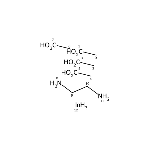 CC(=O)O.CC(=O)O.CC(=O)O.CC(=O)O.NCCN.[InH3]